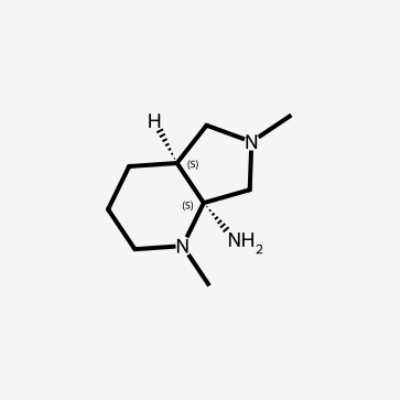 CN1C[C@@H]2CCCN(C)[C@]2(N)C1